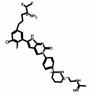 CC(=N)NCC[C@@H]1CCC[C@@H](c2ccc(-n3cc4cc(-c5cc(CCC[C@H](N)C(F)F)cc(Cl)c5F)[nH]c4nc3=O)cc2)N1